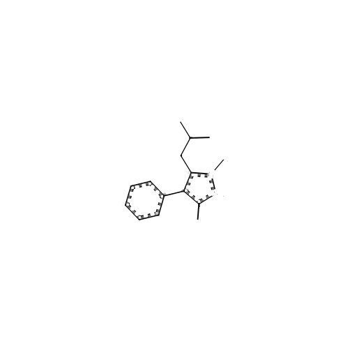 CC(C)Cc1c(-c2ccccc2)c(O)nn1C